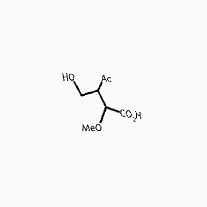 COC(C(=O)O)C(CO)C(C)=O